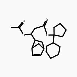 CC(=O)OC(CC(=O)OC1(C2CCCCC2)CCCC1)C1CC2C=CC1C2